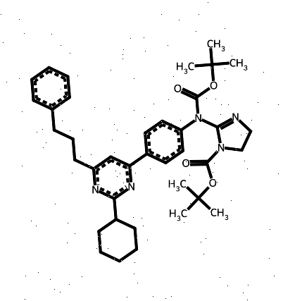 CC(C)(C)OC(=O)N1CCN=C1N(C(=O)OC(C)(C)C)c1ccc(-c2cc(CCCc3ccccc3)nc(C3CCCCC3)n2)cc1